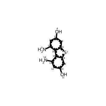 Nc1cc(O)cc2sc3cc(O)cc(N)c3c12